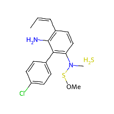 C/C=C\c1ccc(N(C)SOC)c(-c2ccc(Cl)cc2)c1N.S